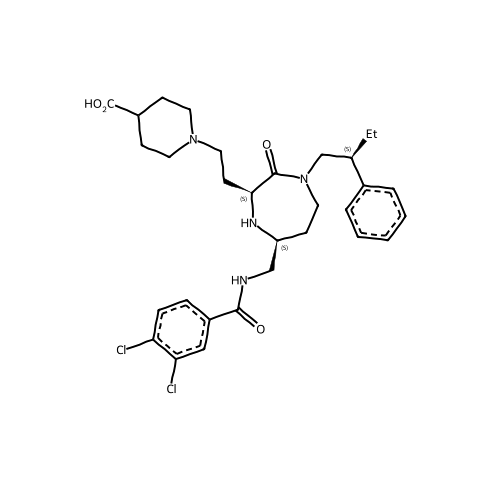 CC[C@H](CN1CC[C@@H](CNC(=O)c2ccc(Cl)c(Cl)c2)N[C@@H](CCN2CCC(C(=O)O)CC2)C1=O)c1ccccc1